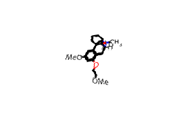 COCCOc1cc(OC)cc2c1C[C@@H]1[C@@H]3CCCCC23CCN1C